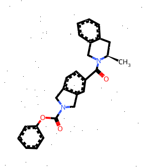 C[C@@H]1Cc2ccccc2CN1C(=O)c1ccc2c(c1)CN(C(=O)Oc1ccccc1)C2